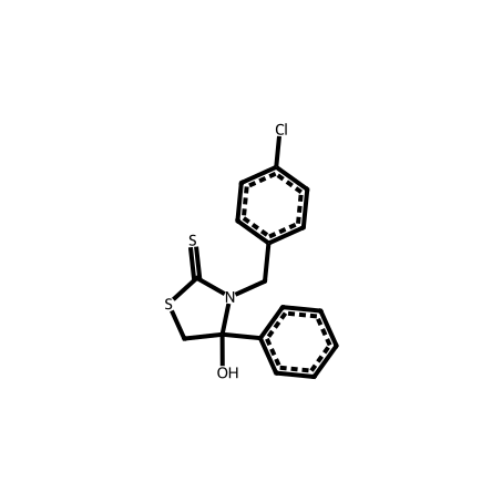 OC1(c2ccccc2)CSC(=S)N1Cc1ccc(Cl)cc1